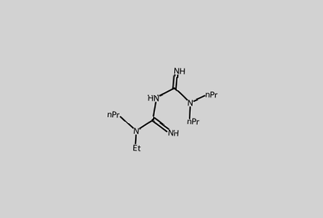 CCCN(CC)C(=N)NC(=N)N(CCC)CCC